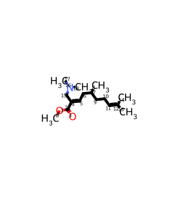 COC(=O)C(=CCC(C)CCC=C(C)C)CN(C)C